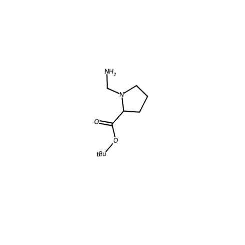 CC(C)(C)OC(=O)C1CCCN1CN